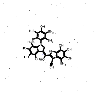 Bc1c(B)c(N2C/C(=C(/O)c3[nH]c4c(O)c(O)c(O)c(B)c4c3C#C)c3c(O)c(O)c(O)c(O)c32)c(B)c(B)c1O